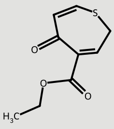 CCOC(=O)C1=CCSC=CC1=O